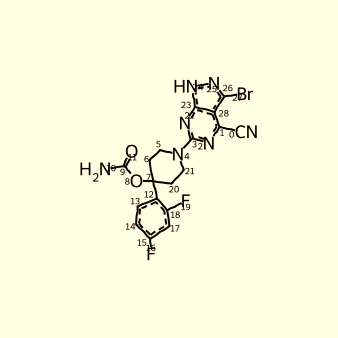 N#Cc1nc(N2CCC(OC(N)=O)(c3ccc(F)cc3F)CC2)nc2[nH]nc(Br)c12